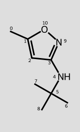 Cc1cc(NC(C)(C)C)no1